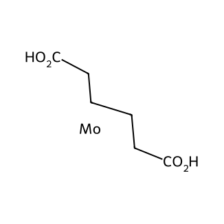 O=C(O)CCCCC(=O)O.[Mo]